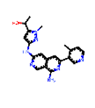 Cc1ccncc1-c1cc2cc(Nc3cc(C(C)O)n(C)n3)ncc2c(N)n1